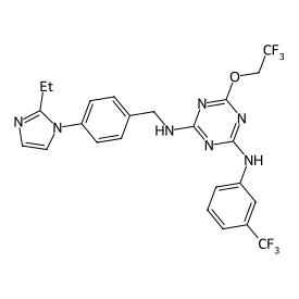 CCc1nccn1-c1ccc(CNc2nc(Nc3cccc(C(F)(F)F)c3)nc(OCC(F)(F)F)n2)cc1